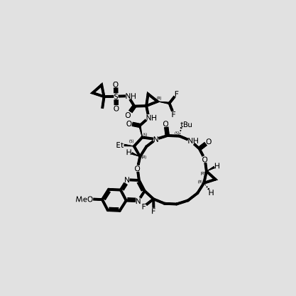 CC[C@@H]1[C@@H]2CN(C(=O)[C@H](C(C)(C)C)NC(=O)O[C@@H]3C[C@H]3CCCCC(F)(F)c3nc4ccc(OC)cc4nc3O2)[C@@H]1C(=O)NC1(C(=O)NS(=O)(=O)C2(C)CC2)C[C@H]1C(F)F